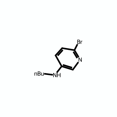 CCCCNc1ccc(Br)nc1